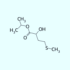 CSCCC(O)C(=O)OC(C)C